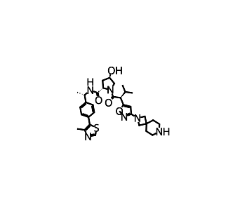 Cc1ncsc1-c1ccc([C@H](C)NC(=O)[C@@H]2C[C@@H](O)CN2C(=O)[C@H](c2cc(N3CC4(CCNCC4)C3)no2)C(C)C)cc1